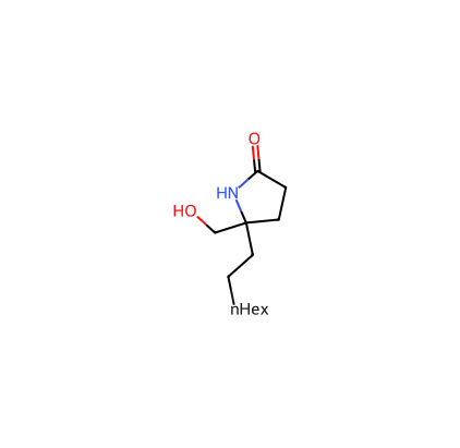 CCCCCCCCC1(CO)CCC(=O)N1